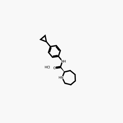 Cl.O=C(Nc1ccc(C2CC2)cc1)[C@H]1CCCCCN1